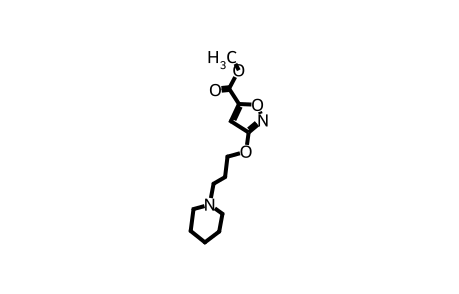 COC(=O)c1cc(OCCCN2CCCCC2)no1